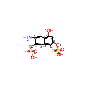 Nc1cc2c(O)cc(OS(=O)(=O)O)cc2cc1OS(=O)(=O)O